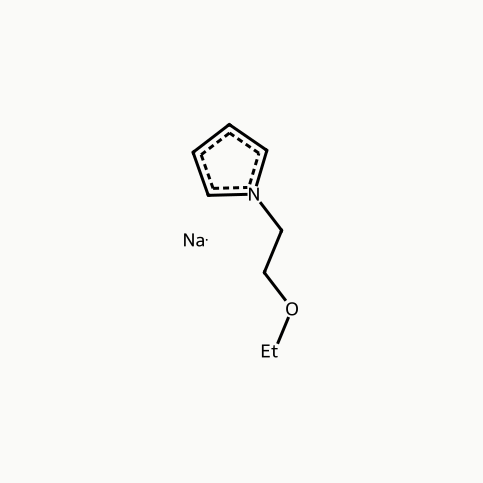 CCOCCn1cccc1.[Na]